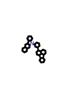 c1cc(-c2ccc3c4c(cccc24)-c2ccccc2-3)cc(-n2c3ccccc3c3cc4ccccc4cc32)c1